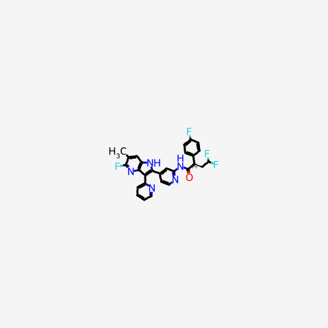 Cc1cc2[nH]c(-c3ccnc(NC(=O)[C@H](CC(F)F)c4ccc(F)cc4)c3)c(-c3ccccn3)c2nc1F